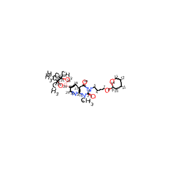 Cn1c(=O)n(CCCOC2CCCCO2)c(=O)c2cc(B3OC(C)(C)C(C)(C)O3)cnc21